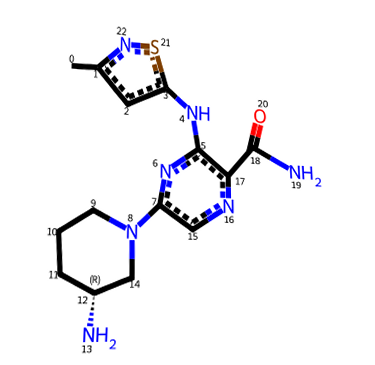 Cc1cc(Nc2nc(N3CCC[C@@H](N)C3)cnc2C(N)=O)sn1